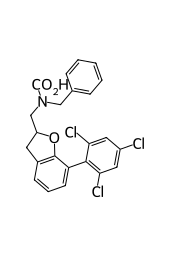 O=C(O)N(Cc1ccccc1)CC1Cc2cccc(-c3c(Cl)cc(Cl)cc3Cl)c2O1